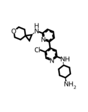 N[C@H]1CC[C@H](Nc2cc(-c3cccc(N[C@@H]4CC45CCOCC5)n3)c(Cl)cn2)CC1